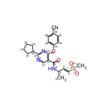 CC(/C=C/S(C)(=O)=O)NC(=O)c1cnc(C2CCCC2)nc1Oc1ccc(C#N)cc1